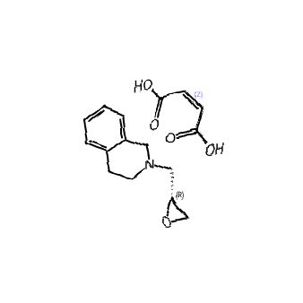 O=C(O)/C=C\C(=O)O.c1ccc2c(c1)CCN(C[C@@H]1CO1)C2